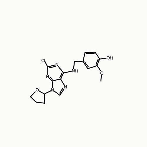 COc1cc(CNc2nc(Cl)nc3c2ncn3C2CCCO2)ccc1O